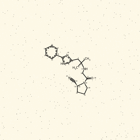 CC(C)(Cc1c[nH]c(-c2ccccc2)n1)NCC(=O)N1CCC[C@H]1C#N